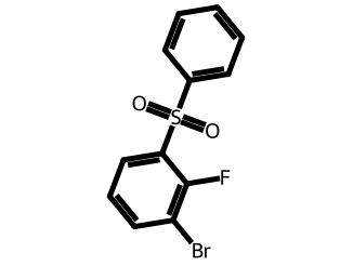 O=S(=O)(c1ccccc1)c1cccc(Br)c1F